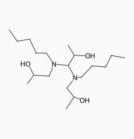 CCCCCN(CC(C)O)C(C(C)O)N(CCCCC)CC(C)O